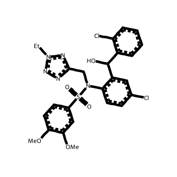 CCn1nnc(CN(c2ccc(Cl)cc2C(O)c2ccccc2Cl)S(=O)(=O)c2ccc(OC)c(OC)c2)n1